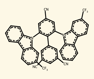 N#Cc1cc(C#N)cc(-c2c(-n3c4ccccc4c4ccc(C(F)(F)F)cc43)cc(C#N)cc2-n2c3ccccc3c3ccc(C(F)(F)F)cc32)c1